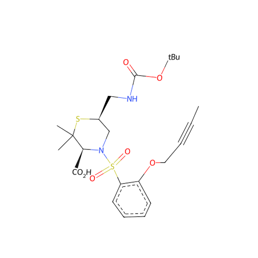 CC#CCOc1ccccc1S(=O)(=O)N1C[C@H](CNC(=O)OC(C)(C)C)SC(C)(C)[C@@H]1C(=O)O